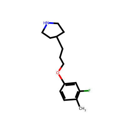 Cc1ccc(OCCCC2CCNCC2)cc1F